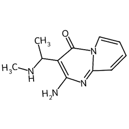 CNC(C)c1c(N)nc2ccccn2c1=O